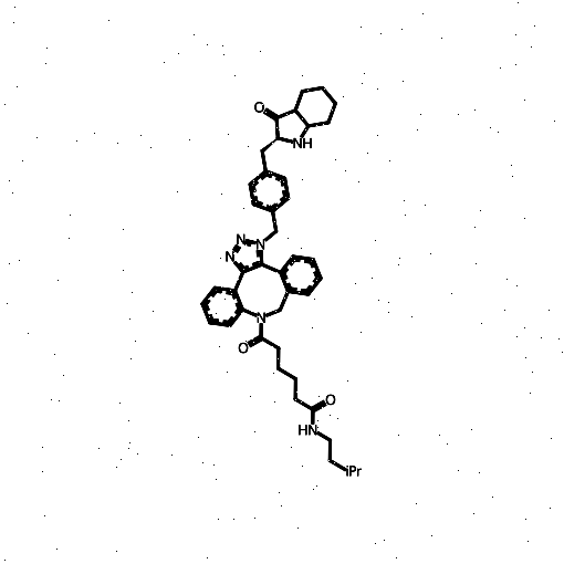 CC(C)CCNC(=O)CCCCC(=O)N1Cc2ccccc2-c2c(nnn2Cc2ccc(C[C@@H]3NC4CCCCC4C3=O)cc2)-c2ccccc21